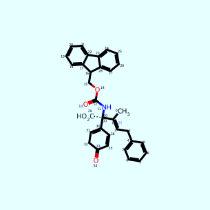 C/C(=C\Cc1ccccc1)[C@@](NC(=O)OCC1c2ccccc2-c2ccccc21)(C(=O)O)C1=CCC(=O)C=C1